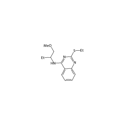 CCSc1nc(NC(CC)COC)c2ccccc2n1